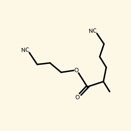 CC(CCCC#N)C(=O)OCCCC#N